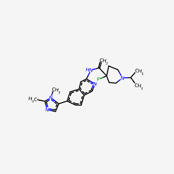 C=C(Nc1cc2cc(-c3cnc(C)n3C)ccc2cn1)C1(F)CCN(C(C)C)CC1